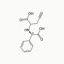 C#CCC(N[C@@H](C(=O)O)c1ccccc1)C(=O)O